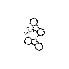 O=S1(=O)c2cccc3c4ccccc4n(c23)-c2cccc3c4ccccc4n1c23